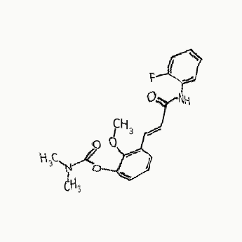 COc1c(C=CC(=O)Nc2ccccc2F)cccc1OC(=O)N(C)C